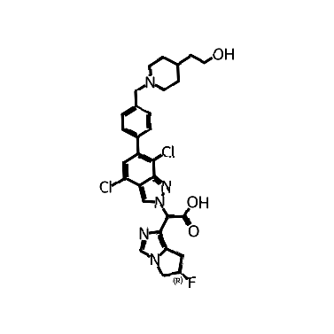 O=C(O)C(c1ncn2c1C[C@@H](F)C2)n1cc2c(Cl)cc(-c3ccc(CN4CCC(CCO)CC4)cc3)c(Cl)c2n1